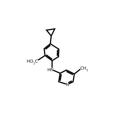 Cc1cncc(Nc2ccc(C3CC3)cc2C(=O)O)c1